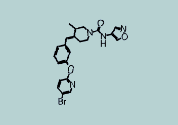 CC1CN(C(=O)Nc2cnoc2)CCC1=Cc1cccc(Oc2ccc(Br)cn2)c1